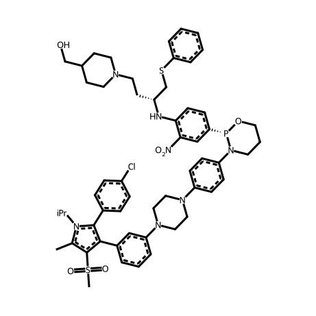 Cc1c(S(C)(=O)=O)c(-c2cccc(N3CCN(c4ccc(N5CCCO[P@@]5c5ccc(N[C@H](CCN6CCC(CO)CC6)CSc6ccccc6)c([N+](=O)[O-])c5)cc4)CC3)c2)c(-c2ccc(Cl)cc2)n1C(C)C